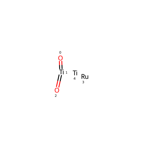 [O]=[Ti]=[O].[Ru].[Ti]